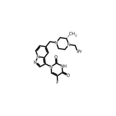 CC(C)CN1CCN(Cc2ccn3ncc(-n4cc(F)c(=O)[nH]c4=O)c3c2)C[C@@H]1C